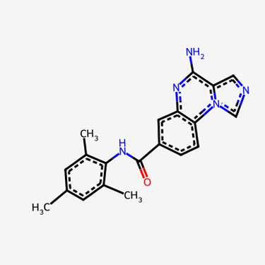 Cc1cc(C)c(NC(=O)c2ccc3c(c2)nc(N)c2cncn23)c(C)c1